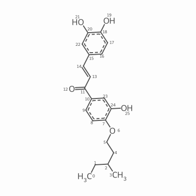 CCC(C)CCOc1ccc(C(=O)/C=C/c2ccc(O)c(O)c2)cc1O